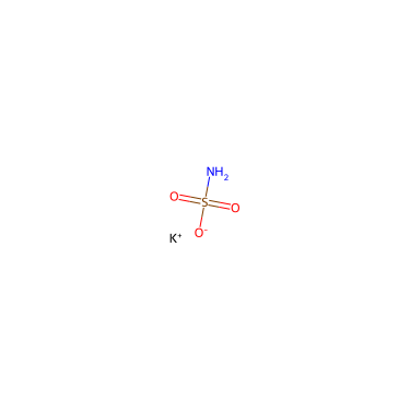 NS(=O)(=O)[O-].[K+]